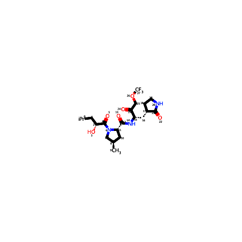 CC(C)C[C@@H](O)C(=O)N1C[C@H](C)C[C@H]1C(=O)N[C@@H](C[C@@H]1CCNC1=O)C(=O)COC(F)(F)F